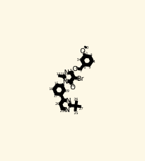 COc1cccc(COc2nc(C)n(-c3cccc(-c4ccnc(C(C)(C)C)n4)c3)c(=O)c2Br)c1